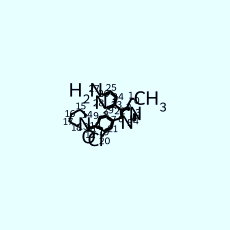 CCc1ncnc(-c2ccc(C(=O)N3CCCCC3)c(Cl)c2)c1-c1ccc(N)nc1